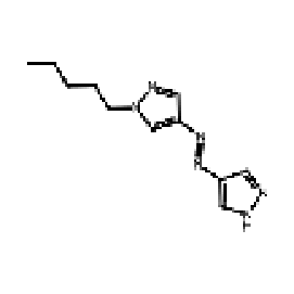 CCCCCn1cc(N=Nc2cn[nH]c2)cn1